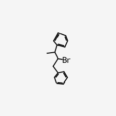 CC(c1ccccc1)C(Br)Cc1ccccc1